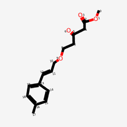 COC(=O)CC(=O)CCOC/C=C/c1ccc(C)cc1